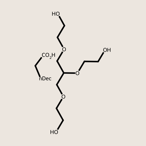 CCCCCCCCCCCC(=O)O.OCCOCC(COCCO)OCCO